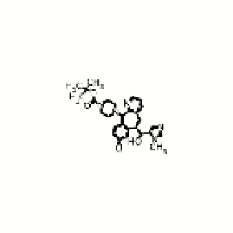 Cn1cncc1C(O)C1=Cc2cccnc2C(N2CCN(C(=O)OC(C)(C)C)CC2)c2ccc(Cl)cc21